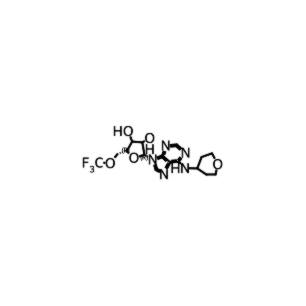 OC1C(O)[C@@H](COC(F)(F)F)O[C@H]1n1cnc2c(NC3CCOCC3)ncnc21